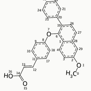 COc1ccc2c(Oc3ccc(C=CC(=O)O)cc3)c(-c3ccccc3)ccc2c1